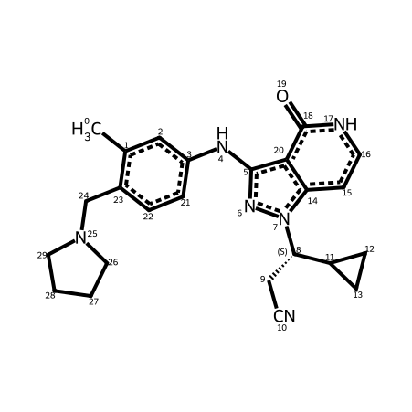 Cc1cc(Nc2nn([C@@H](CC#N)C3CC3)c3cc[nH]c(=O)c23)ccc1CN1CCCC1